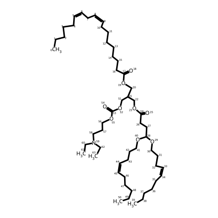 CCCCC/C=C\C/C=C\CCCCCCCC(=O)OCC(COC(=O)CCC(OCCC/C=C\CCCCC)OCCC/C=C\CCCCC)COC(=O)OCCCN(CC)CC